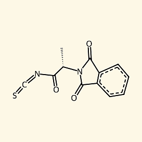 C[C@@H](C(=O)N=C=S)N1C(=O)c2ccccc2C1=O